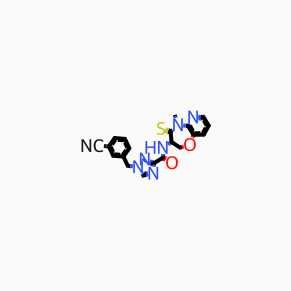 CN1C(=S)C(NC(=O)c2ncn(Cc3cccc(C#N)c3)n2)COc2cccnc21